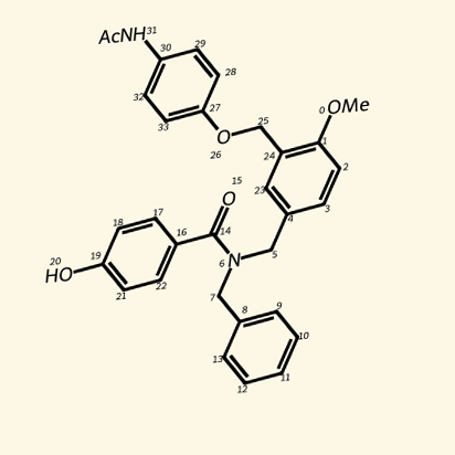 COc1ccc(CN(Cc2ccccc2)C(=O)c2ccc(O)cc2)cc1COc1ccc(NC(C)=O)cc1